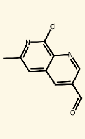 Cc1cc2cc(C=O)cnc2c(Cl)n1